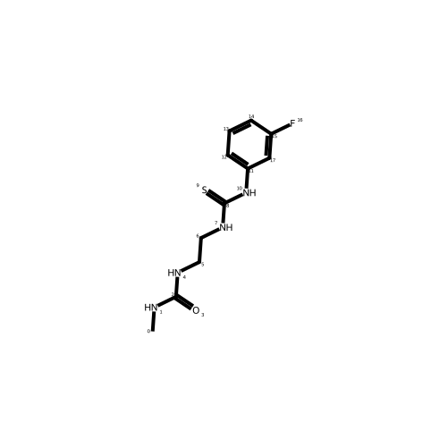 CNC(=O)NCCNC(=S)Nc1cccc(F)c1